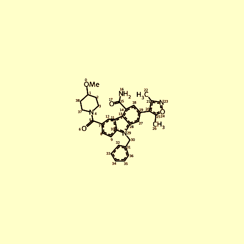 COC1CCN(C(=O)c2ccc3c(c2)c2c(C(N)=O)cc(-c4c(C)noc4C)cc2n3Cc2ccccc2)CC1